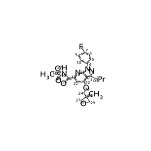 CC(C)c1nn(-c2ccc(F)cc2)c2nc(C(=O)NS(C)(=O)=O)cc(OCC3(C)COC3)c12